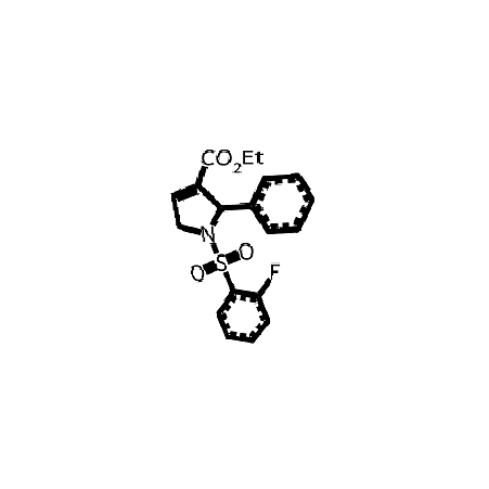 CCOC(=O)C1=CCN(S(=O)(=O)c2ccccc2F)C1c1ccccc1